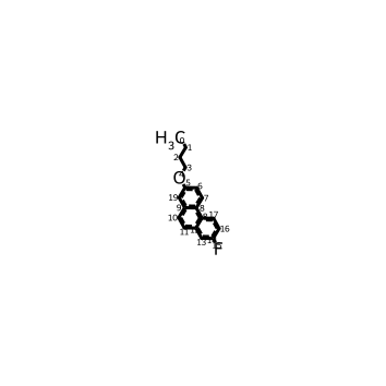 CCCCOc1ccc2c(ccc3cc(F)ccc32)c1